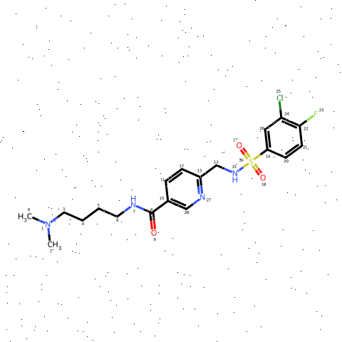 CN(C)CCCCNC(=O)c1ccc(CNS(=O)(=O)c2ccc(F)c(Cl)c2)nc1